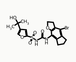 CC(C)(O)c1coc(S(=O)(=O)NC(=O)Nc2c3c(c(Br)c4c2OCC4)CCC3)c1